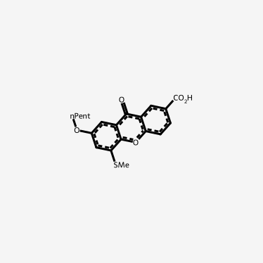 CCCCCOc1cc(SC)c2oc3ccc(C(=O)O)cc3c(=O)c2c1